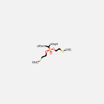 CCCCCCCC(CCCCC)P(=O)(OCCSC=O)OCCSC=O